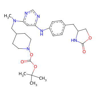 CN(CC1CCN(OC(=O)OC(C)(C)C)CC1)c1cc(Nc2ccc(CC3COC(=O)N3)cc2)ncn1